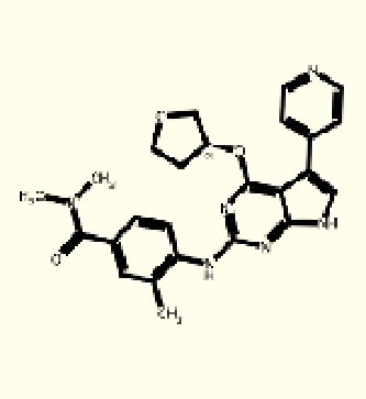 Cc1cc(C(=O)N(C)C)ccc1Nc1nc(O[C@H]2CCOC2)c2c(-c3ccncc3)c[nH]c2n1